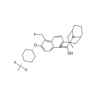 CC(c1ccc2c(CF)c(O[C@H]3CC[C@@H](C(C)(F)F)CC3)ccc2c1)N1C2CCCC1CC(C(=O)O)C2